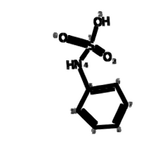 O=S(=O)(O)Nc1c[c]ccc1